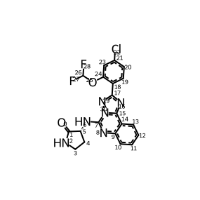 O=C1NCC[C@H]1Nc1nc2ccccc2c2nc(-c3ccc(Cl)cc3OC(F)F)nn12